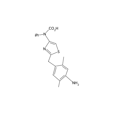 Cc1cc(Cc2nc(N(C(=O)O)C(C)C)cs2)c(C)cc1N